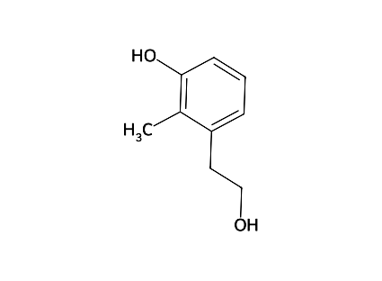 Cc1c(O)cccc1CCO